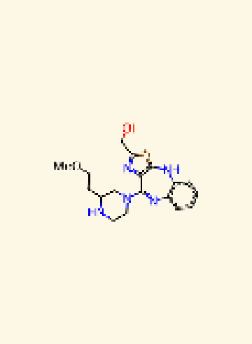 COCCC1CN(C2=Nc3ccccc3Nc3sc(CO)nc32)CCN1